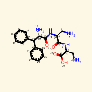 NC[C@H](NC(=O)[C@H](CN)NC(=O)[C@@H](N)C(c1ccccc1)c1ccccc1)C(=O)O